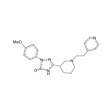 COc1ccc(-n2nc(C3CCCN(CCc4ccncc4)C3)[nH]c2=O)cc1